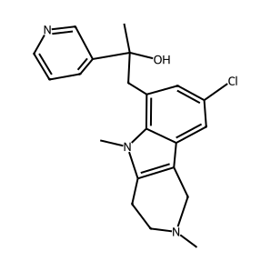 CN1CCc2c(c3cc(Cl)cc(CC(C)(O)c4cccnc4)c3n2C)C1